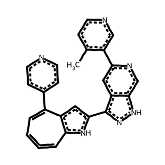 Cc1ccncc1-c1cc2c(-c3cc4c([nH]3)C=C=CC=C4c3ccncc3)n[nH]c2cn1